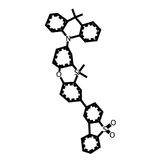 CC1(C)c2ccccc2N(c2ccc3c(c2)[Si](C)(C)c2cc(-c4ccc5c(c4)-c4ccccc4S5(=O)=O)ccc2O3)c2ccccc21